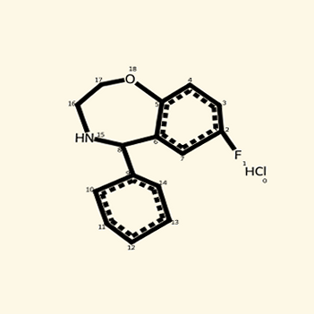 Cl.Fc1ccc2c(c1)C(c1ccccc1)NCCO2